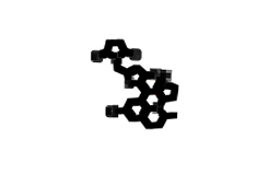 CC1CCc2cc(Cl)cc(-c3ccnc4cc(CN5C(=O)CCC5=O)sc34)c2N1C1CCNC1